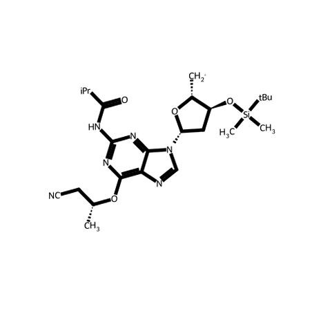 [CH2][C@H]1O[C@@H](n2cnc3c(O[C@H](C)CC#N)nc(NC(=O)C(C)C)nc32)C[C@@H]1O[Si](C)(C)C(C)(C)C